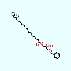 CCCCCCCCCCCCCCCC(=O)OC[C@@H](O)COCc1ccccc1